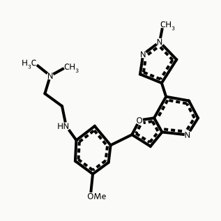 COc1cc(NCCN(C)C)cc(-c2cc3nccc(-c4cnn(C)c4)c3o2)c1